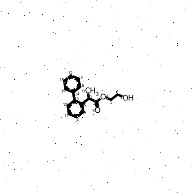 CC(C(=O)OCCO)c1ccccc1-c1ccccc1